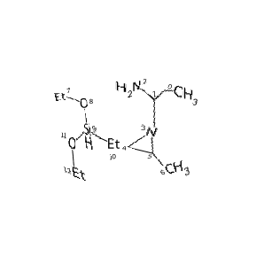 CC(N)N1CC1C.CCO[SiH](CC)OCC